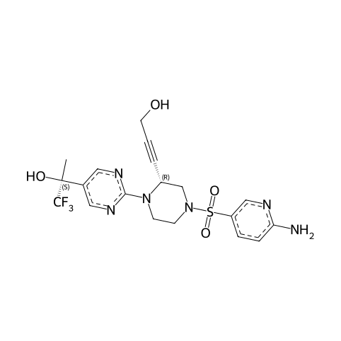 C[C@](O)(c1cnc(N2CCN(S(=O)(=O)c3ccc(N)nc3)C[C@H]2C#CCO)nc1)C(F)(F)F